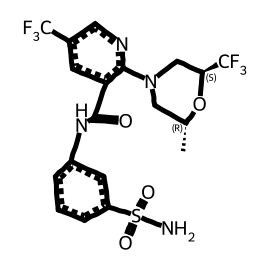 C[C@@H]1CN(c2ncc(C(F)(F)F)cc2C(=O)Nc2cccc(S(N)(=O)=O)c2)C[C@@H](C(F)(F)F)O1